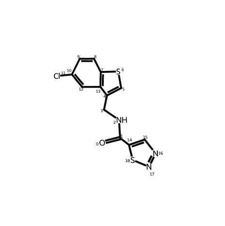 O=C(NCc1csc2ccc(Cl)cc12)c1cnns1